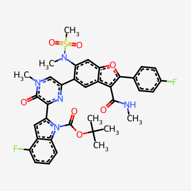 CNC(=O)c1c(-c2ccc(F)cc2)oc2cc(N(C)S(C)(=O)=O)c(-c3cn(C)c(=O)c(-c4cc5c(F)cccc5n4C(=O)OC(C)(C)C)n3)cc12